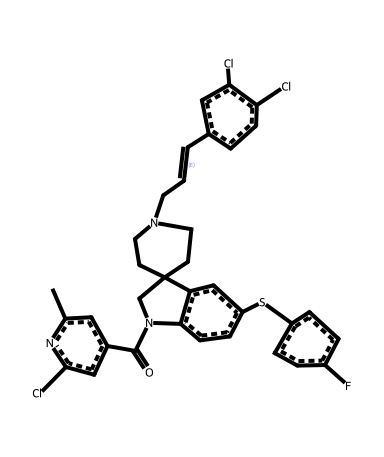 Cc1cc(C(=O)N2CC3(CCN(C/C=C/c4ccc(Cl)c(Cl)c4)CC3)c3cc(Sc4ccc(F)cc4)ccc32)cc(Cl)n1